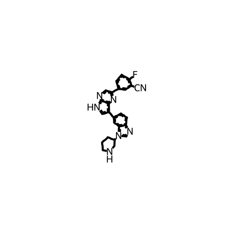 N#Cc1cc(-c2cnc3[nH]cc(-c4ccc5ncn(C6CCCNC6)c5c4)c3n2)ccc1F